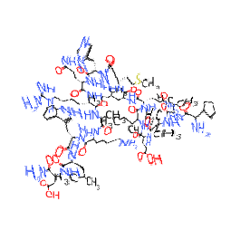 CC[C@H](C)[C@H](NC(=O)[C@H](CCC(=O)O)NC(=O)C(C)(C)NC(=O)[C@@H](NC(=O)C(N)C1CCCC1)C(C)C)C(=O)N[C@@H](CCC(N)=O)C(=O)N[C@@H](CC(C)C)C(=O)N[C@@H](CCSC)C(=O)N[C@@H](Cc1cnc[nH]1)C(=O)N[C@@H](CCC(N)=O)C(=O)N[C@@H](CCCCNC(=N)N)C(=O)N[C@@H](C)C(=O)N[C@@H](CCCCN)C(=O)N[C@@H](Cc1c[nH]c2ccccc12)C(=O)N[C@@H](CC(C)C)C(=O)NC(CC(=O)O)C(N)=O